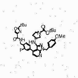 COc1ccc(Cn2nc(N[C@@H]3CCN(C(=O)OC(C)(C)C)C3)c3c(-c4ccc(CNC(=O)c5coc(C(C)(C)C)n5)c(F)c4)ccnc32)cc1